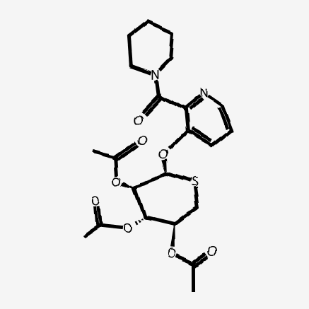 CC(=O)O[C@@H]1[C@@H](OC(C)=O)[C@@H](Oc2cccnc2C(=O)N2CCCCC2)SC[C@H]1OC(C)=O